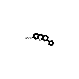 COc1ccc(/C=C2/CCC(C3CCCC3)CC2=O)cc1